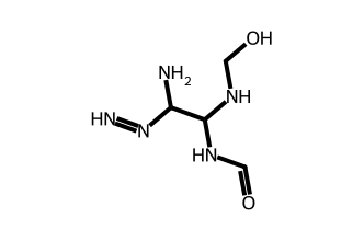 N=NC(N)C(NC=O)NCO